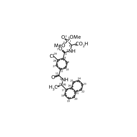 COP(=O)(OC)C(NC(=O)c1ccc(C(=O)N[C@H](C)c2cccc3ccccc23)cc1Cl)C(=O)O